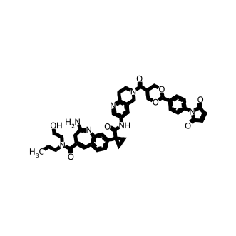 CCCN(CCO)C(=O)C1=Cc2ccc(C3(C(=O)Nc4cnc5c(c4)CN(C(=O)C4COC(c6ccc(N7C(=O)C=CC7=O)cc6)OC4)CC5)CC3)cc2N=C(N)C1